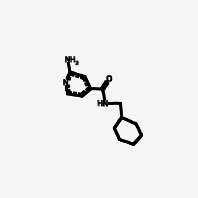 Nc1cc(C(=O)NCC2CCCCC2)ccn1